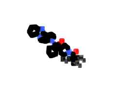 CC(C)(C)C(=O)N1CCC(C(=O)CN2C3CC4c5nc6ccccc6n5C(C3)CC42)(c2ccccc2)CC1